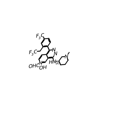 CN1CCC[C@@H](Nc2nnc(-c3ccc(C(F)(F)F)cc3CC(F)(F)F)c3ccncc23)C1.O=CO